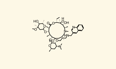 CC[C@H]1OC(=O)[C@H](C)[C@@H](O[C@H]2C[C@@](C)(OC)[C@@H](O)[C@H](C)O2)[C@H](C)[C@@H](O[C@@H]2O[C@H](C)C[C@H](N(C)C)[C@H]2OCCCNCc2cnc3ccccc3c2)[C@](C)(O)C[C@@H](C)CN(C)[C@H](C)[C@@H](O)[C@]1(C)O